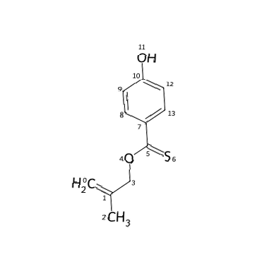 C=C(C)COC(=S)c1ccc(O)cc1